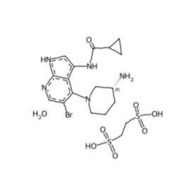 N[C@@H]1CCCN(c2c(Br)cnc3[nH]cc(NC(=O)C4CC4)c23)C1.O.O=S(=O)(O)CCS(=O)(=O)O